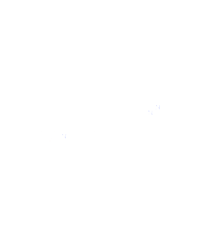 NN=Cc1ccc(CCOc2cccc(NS(=O)(=O)c3ccccc3Cl)c2)cc1